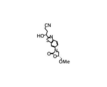 COC[C@H]1CN(c2ccc3nc([C@@H](O)CCC#N)sc3c2)C(=O)O1